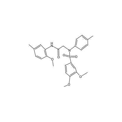 COc1ccc(C)cc1NC(=O)CN(c1ccc(C)cc1)S(=O)(=O)c1ccc(OC)c(OC)c1